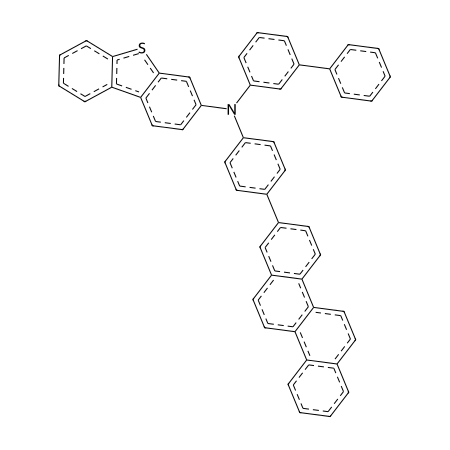 c1ccc(-c2cccc(N(c3ccc(-c4ccc5c(ccc6c7ccccc7ccc56)c4)cc3)c3ccc4c(c3)sc3ccccc34)c2)cc1